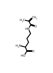 C=C(C)C(=O)NCCCC(N)C(=O)O